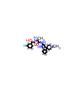 C[C@H](NC(=O)C(O)c1cc(F)cc(F)c1)C(=O)Nc1cc(C2(c3ccccc3)CCN(C)CC2)n[nH]1